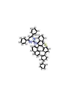 c1ccc(-c2ccc(-c3ccc4sc5c6ccccc6c6c(c5c4c3)c3c4ccccc4ccc3n6-c3nc(-c4ccccc4)cc(-c4ccccc4)n3)cc2)cc1